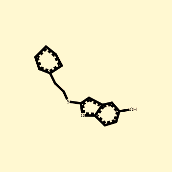 Oc1ccc2oc(SCCc3ccccc3)cc2c1